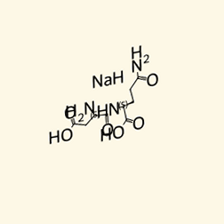 NC(=O)CC[C@H](NC(=O)[C@@H](N)CC(=O)O)C(=O)O.[NaH]